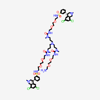 CN1Cc2c(Cl)cc(Cl)cc2[C@H](c2cccc(S(=O)(=O)NCCOCCOCCNC(=O)N(C)CCCN(CCCN(C)C(=O)NCCOCCOCCN)CCCN(C)C(=O)NCCOCCOCCNS(=O)(=O)c3cccc([C@@H]4CN(C)Cc5c(Cl)cc(Cl)cc54)c3)c2)C1